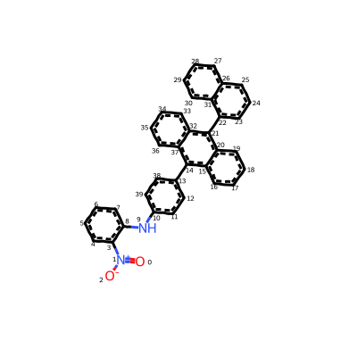 O=[N+]([O-])c1ccccc1Nc1ccc(-c2c3ccccc3c(-c3cccc4ccccc34)c3ccccc23)cc1